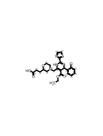 CCOC(=O)C1=C(CN2CCOC(CCC(=O)O)C2)NC(c2nccs2)=NC1c1ccccc1Cl